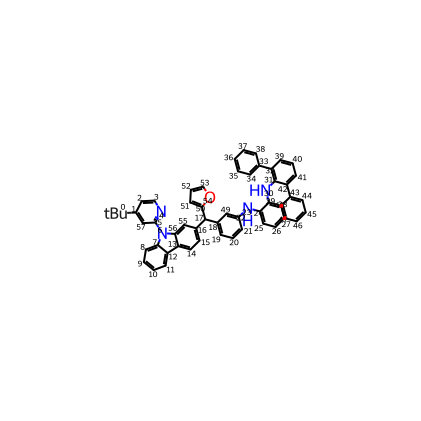 CC(C)(C)c1ccnc(-n2c3ccccc3c3ccc(C(c4cccc(Nc5ccccc5Nc5c(-c6ccccc6)cccc5-c5ccccc5)c4)c4ccco4)cc32)c1